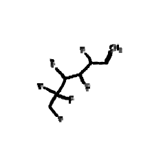 C=CC(F)C(F)C(F)C(F)(F)CF